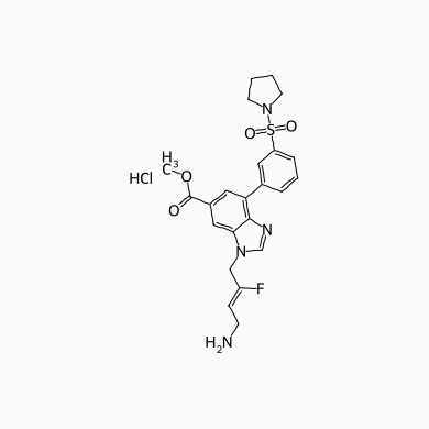 COC(=O)c1cc(-c2cccc(S(=O)(=O)N3CCCC3)c2)c2ncn(CC(F)=CCN)c2c1.Cl